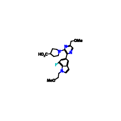 COCCn1ccc2cc(-c3ncc(COC)nc3N3CCC(C(=O)O)CC3)cc(F)c21